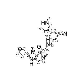 CC/C(=C\NC)c1cc(C#N)cc(CNCC(=O)C2C3=C(C=CN2C)NC(C2CCOC2)N3C)c1